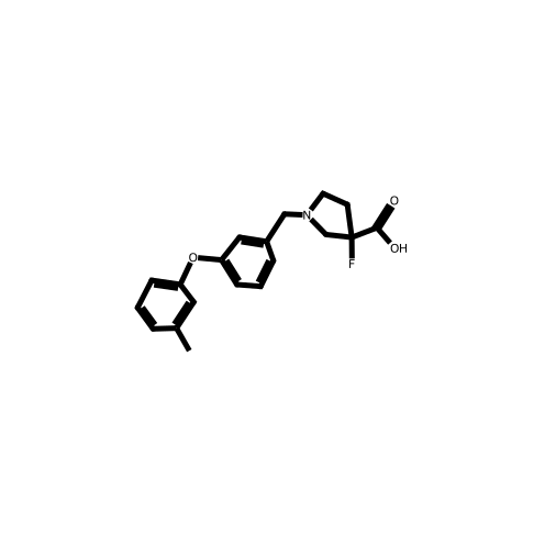 Cc1cccc(Oc2cccc(CN3CCC(F)(C(=O)O)C3)c2)c1